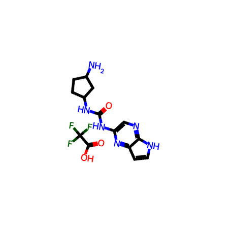 NC1CCC(NC(=O)Nc2cnc3[nH]ccc3n2)C1.O=C(O)C(F)(F)F